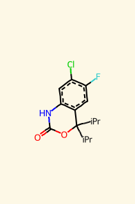 CC(C)C1(C(C)C)OC(=O)Nc2cc(Cl)c(F)cc21